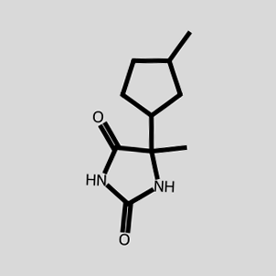 CC1CCC(C2(C)NC(=O)NC2=O)C1